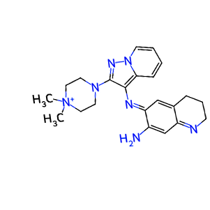 C[N+]1(C)CCN(c2nn3ccccc3c2N=C2C=C3CCCN=C3C=C2N)CC1